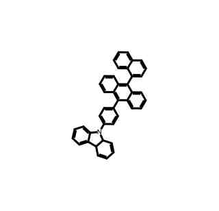 C1=CC2c3ccccc3N(c3ccc(-c4c5ccccc5c(-c5cccc6ccccc56)c5ccccc45)cc3)C2C=C1